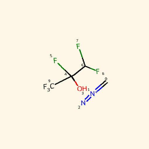 C=[N+]=[N-].OC(F)(C(F)F)C(F)(F)F